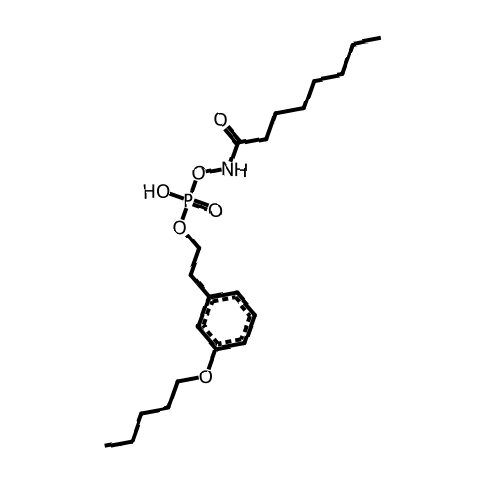 CCCCCCCC(=O)NOP(=O)(O)OCCc1cccc(OCCCCC)c1